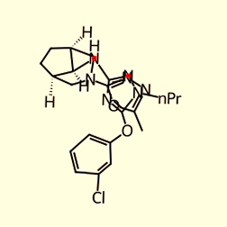 CCCn1nc(N[C@H]2[C@@H]3CC[C@H]2CN(c2nnc(C)o2)C3)nc1Oc1cccc(Cl)c1